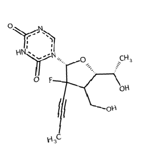 CC#CC1(F)C(CO)[C@@H]([C@H](C)O)O[C@H]1n1cnc(=O)[nH]c1=O